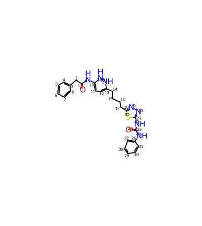 O=C(Cc1ccccc1)NC1=CC=C(CCCCc2nnc(NC(=O)Nc3ccccc3)s2)NN1